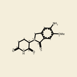 COc1cc2c(cc1N)CN(C1CCC(=O)NC1=O)C2=O